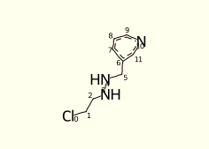 ClCCNNCc1cccnc1